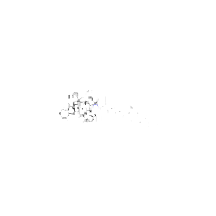 CCCCCCCC(=O)CCCCCC/C=C/[C@H](C(=O)N[C@@H](Cc1c[nH]c2ccccc12)C(=O)O)[C@@](O)(CC(=O)O)C(=O)O